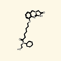 O=C1CN2Cc3cccc(OCCCCCCC(=O)N(CCO)C4CCCCC4)c3N=C2N1